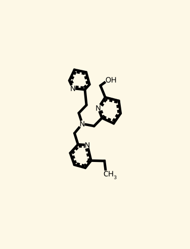 CCc1cccc(CN(CCc2ccccn2)Cc2cccc(CO)n2)n1